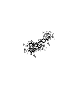 CC(C)(C)NC(C)(C)CC(C)(C)C1CCC(C(C)(C)CC(C)(C)C(C(=O)C(C)(C)C)N(C(C)(C)CC(C)(C)C(=O)C(C)(C)C)C(C)(C)C(C)(C)C(=O)C(C)(C)C)CC1